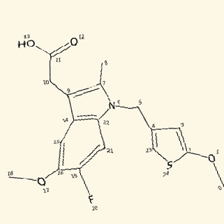 COc1cc(Cn2c(C)c(CC(=O)O)c3cc(OC)c(F)cc32)cs1